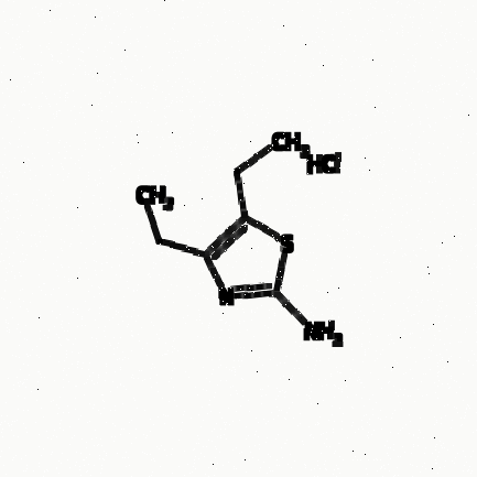 CCc1nc(N)sc1CC.Cl